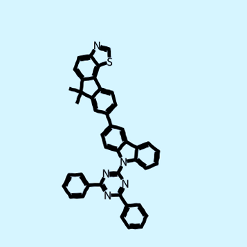 CC1(C)c2cc(-c3ccc4c(c3)c3ccccc3n4-c3nc(-c4ccccc4)nc(-c4ccccc4)n3)ccc2-c2c1ccc1ncsc21